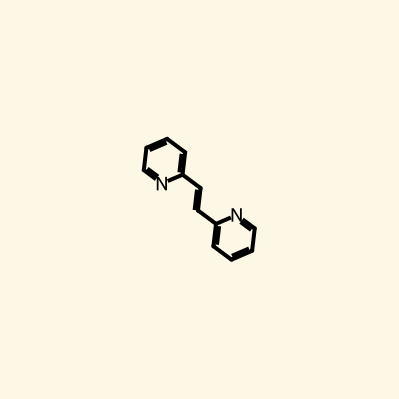 C(=Cc1ccccn1)c1ccccn1